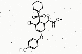 O=C(NO)c1cc(Oc2ccc(C(F)(F)F)cc2)cc(Cl)c1S(=O)(=O)N1CCCCC1